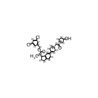 CN(C(=O)OCc1cc(Cl)cc(Cl)c1)C1CCc2ccc(C3=CCN(CC(=O)N4CC[C@@H](O)C4)CC3)cc21